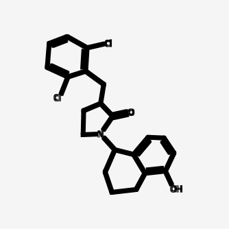 O=C1C(Cc2c(Cl)cccc2Cl)CCN1C1CCCc2c(O)cccc21